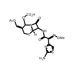 CON=C(C(=O)NC1C(=O)N2C(OC(=O)O)C(=COC(C)=O)CS[C@@H]12)c1csc(N)n1